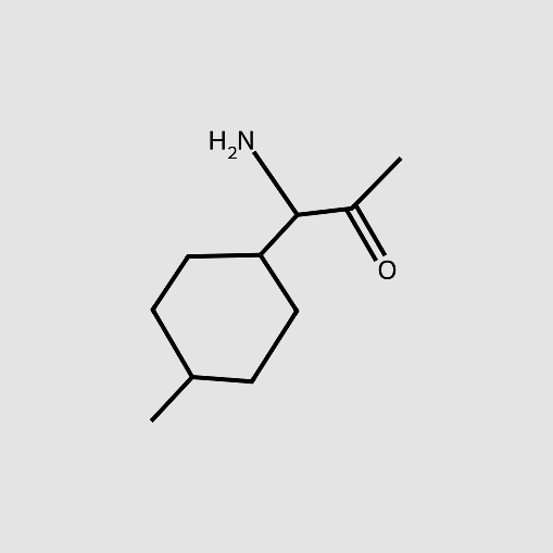 CC(=O)C(N)C1CCC(C)CC1